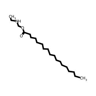 CCCCCCCCCCCCCCCCCC(=O)OCNCC